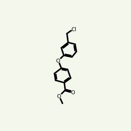 COC(=O)c1ccc(Oc2cccc(CCl)c2)cc1